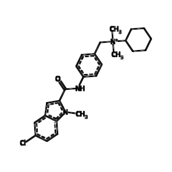 Cn1c(C(=O)Nc2ccc(C[N+](C)(C)C3CCCCC3)cc2)cc2cc(Cl)ccc21